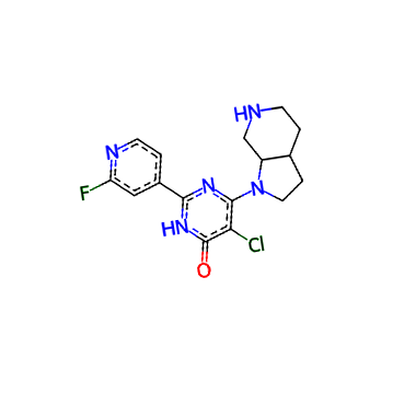 O=c1[nH]c(-c2ccnc(F)c2)nc(N2CCC3CCNCC32)c1Cl